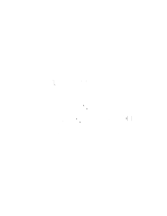 Cn1c(=O)c(Cl)c(Cl)c(=O)n1CC(=O)O